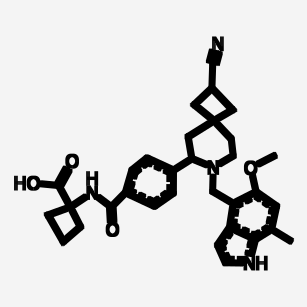 COc1cc(C)c2[nH]ccc2c1CN1CCC2(CC(C#N)C2)CC1c1ccc(C(=O)NC2(C(=O)O)CCC2)cc1